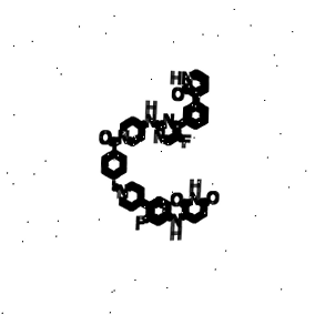 O=C1CCC(Nc2ccc(C3CCN(C[C@H]4CC[C@H](C(=O)N5CCC(Nc6ncc(F)c(-c7cccc(-c8ccc[nH]c8=O)c7)n6)CC5)CC4)CC3)c(F)c2)C(=O)N1